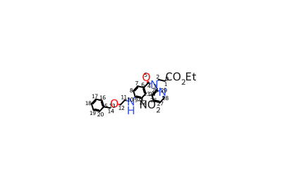 CCOC(=O)CCN(C(=O)c1ccc(NCCOCc2ccccc2)c([N+](=O)[O-])c1)c1ccccn1